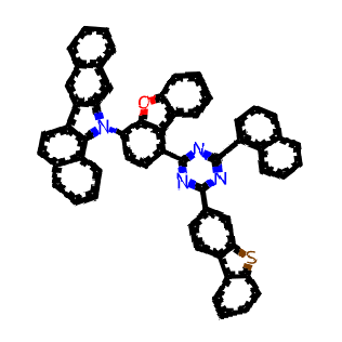 c1ccc2cc3c(cc2c1)c1ccc2ccccc2c1n3-c1ccc(-c2nc(-c3ccc4c(c3)sc3ccccc34)nc(-c3cccc4ccccc34)n2)c2c1oc1ccccc12